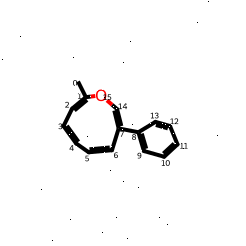 Cc1cccccc(-c2ccccc2)co1